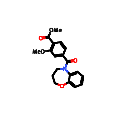 COC(=O)c1ccc(C(=O)N2CCCOc3ccccc32)cc1OC